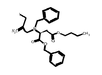 C=C(CI)CN(Cc1ccccc1)[C@@H](CC(=O)OCCCC)C(=O)OCc1ccccc1